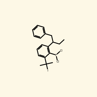 CCC(Cc1ccccc1)c1cccc(C(C)(C)I)c1P(Cl)Cl